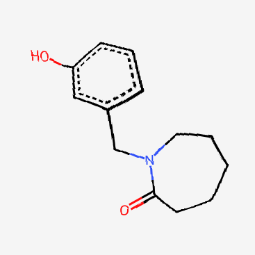 O=C1CCCCCN1Cc1cccc(O)c1